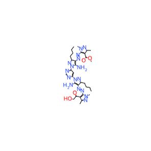 CCCCc1nn(-c2cc(-n3nc(CCCC)c(/N=N/c4c(C(=O)OC)c(C)nn4C)c3N)ncn2)c(N)c1/N=N/c1c(C(=O)CO)c(C)nn1C